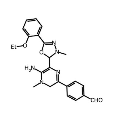 CCOc1ccccc1C1=NN(C)C(C2=C(N)N(C)CC(c3ccc(C=O)cc3)=N2)O1